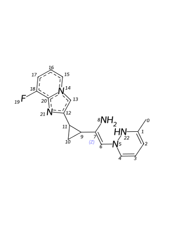 CC1=CC=CN(/C=C(\N)C2CC2c2cn3cccc(F)c3n2)N1